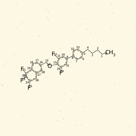 CCCCCc1ccc(-c2cc(F)c(OCc3ccc4c(F)c(F)c(F)cc4c3)c(F)c2)cc1